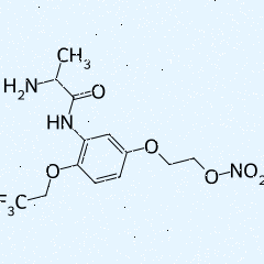 CC(N)C(=O)Nc1cc(OCCO[N+](=O)[O-])ccc1OCC(F)(F)F